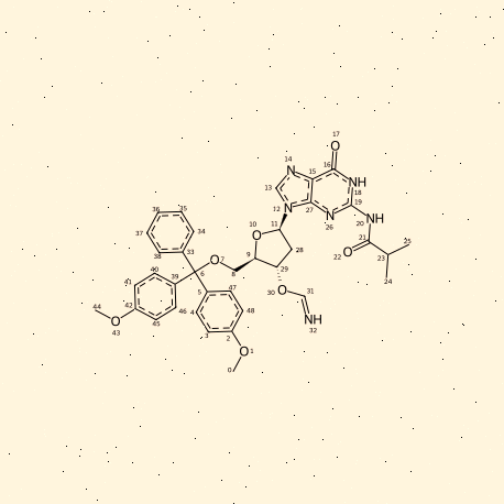 COc1ccc(C(OC[C@H]2O[C@@H](n3cnc4c(=O)[nH]c(NC(=O)C(C)C)nc43)C[C@@H]2OC=N)(c2ccccc2)c2ccc(OC)cc2)cc1